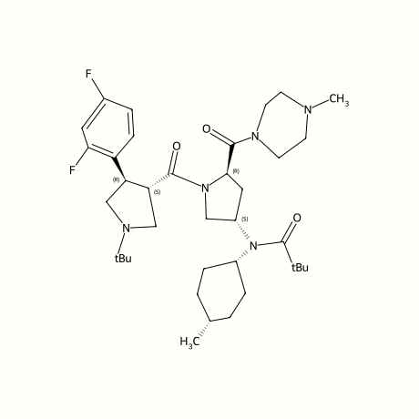 CN1CCN(C(=O)[C@H]2C[C@H](N(C(=O)C(C)(C)C)[C@H]3CC[C@@H](C)CC3)CN2C(=O)[C@@H]2CN(C(C)(C)C)C[C@H]2c2ccc(F)cc2F)CC1